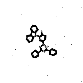 Brc1ccc(C2N=C(c3ccccc3)N=C(c3ccccc3)N2)cc1-n1c2ccccc2c2ccccc21